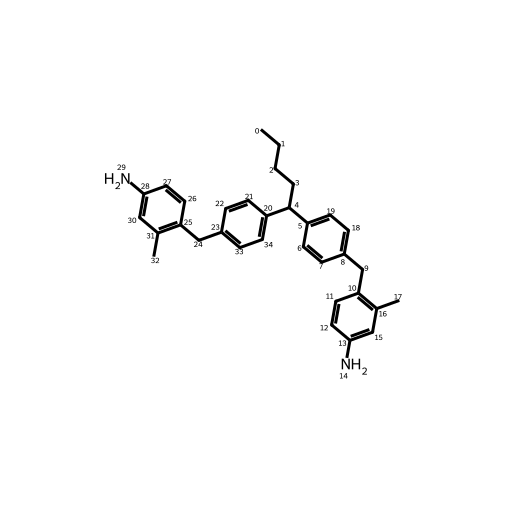 CCCCC(c1ccc(Cc2ccc(N)cc2C)cc1)c1ccc(Cc2ccc(N)cc2C)cc1